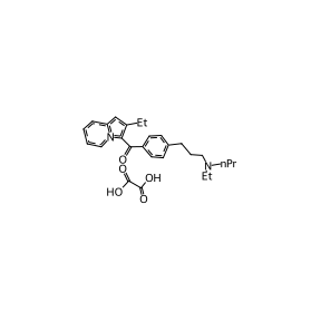 CCCN(CC)CCCc1ccc(C(=O)c2c(CC)cc3ccccn23)cc1.O=C(O)C(=O)O